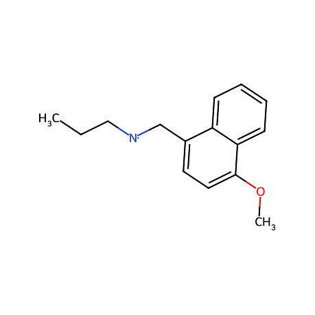 CCC[N]Cc1ccc(OC)c2ccccc12